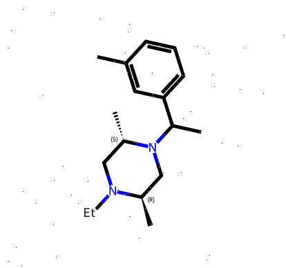 CCN1C[C@H](C)N(C(C)c2cccc(C)c2)C[C@H]1C